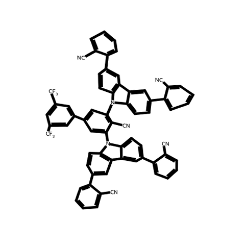 N#Cc1ccccc1-c1ccc2c(c1)c1cc(-c3ccccc3C#N)ccc1n2-c1cc(-c2cc(C(F)(F)F)cc(C(F)(F)F)c2)cc(-n2c3ccc(-c4ccccc4C#N)cc3c3cc(-c4ccccc4C#N)ccc32)c1C#N